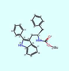 CC(C)(C)OC(=O)N[C@H](Cc1ccccc1)Cc1c(-c2ccccc2)[nH]c2ccccc12